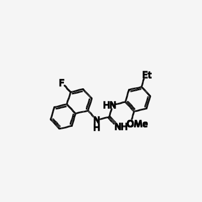 CCc1ccc(OC)c(NC(=N)Nc2ccc(F)c3ccccc23)c1